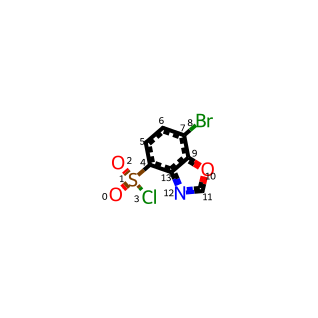 O=S(=O)(Cl)c1ccc(Br)c2ocnc12